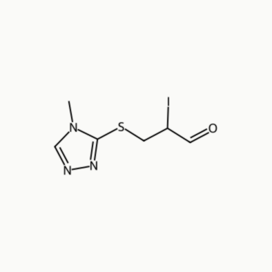 Cn1cnnc1SCC(I)C=O